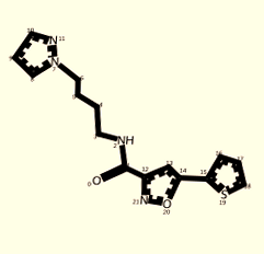 O=C(NCCCCn1cccn1)c1cc(-c2cccs2)on1